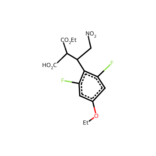 CCOC(=O)C(C(=O)O)C(C[N+](=O)[O-])c1c(F)cc(OCC)cc1F